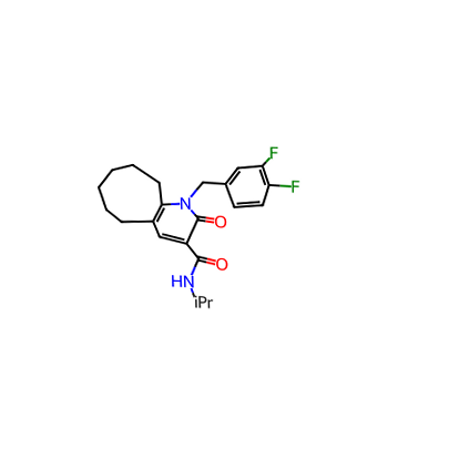 CC(C)NC(=O)c1cc2c(n(Cc3ccc(F)c(F)c3)c1=O)CCCCCC2